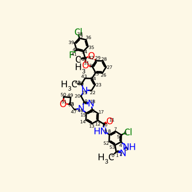 Cc1n[nH]c2c(Cl)cc(NC(=O)c3ccc4c(c3)nc(CN3CC=C(c5cccc6c5OC(C)(c5ccc(Cl)cc5F)O6)C[C@@H]3C)n4C[C@@H]3CCO3)cc12